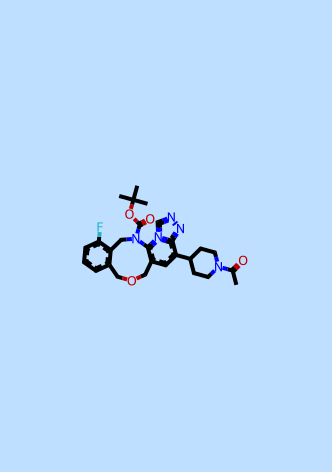 CC(=O)N1CCC(c2cc3c(n4cnnc24)N(C(=O)OC(C)(C)C)Cc2c(F)cccc2COC3)CC1